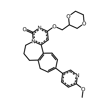 COc1ccc(C2=CCC3=C(C=C2)c2cc(OCC4COCCO4)nc(=O)n2CCC3)cn1